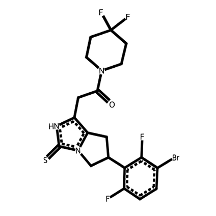 O=C(Cc1[nH]c(=S)n2c1CC(c1c(F)ccc(Br)c1F)C2)N1CCC(F)(F)CC1